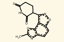 Cc1nc2ccc3onc(C4CCC(=O)NC4=O)c3c2o1